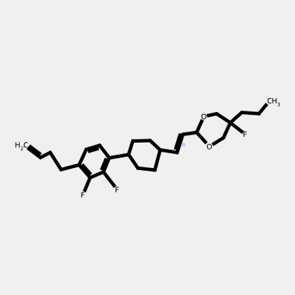 C=CCCc1ccc(C2CCC(/C=C/C3OCC(F)(CCC)CO3)CC2)c(F)c1F